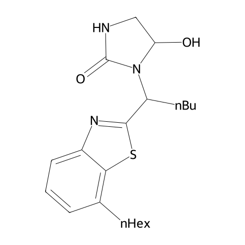 CCCCCCc1cccc2nc(C(CCCC)N3C(=O)NCC3O)sc12